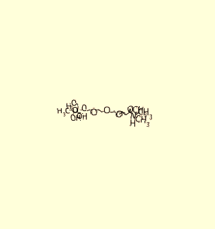 C[C@H]1[C@H]2OC[C@](COCCOCCOCCOCCC(=O)NC(C)(C)C)(O2)[C@H](O)[C@@H]1O